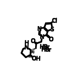 Br.Br.O=C(C[C@H]1NCCC[C@@H]1O)Cn1cnc2cc(Cl)sc2c1=O